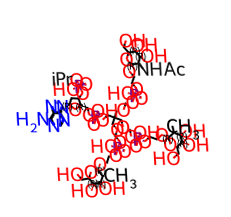 CC(=O)NC1[C@H](OCCOP(=O)(O)OCOCC(COCOP(=O)(O)OCCO[C@@H]2OC(CO)[C@H](O)[C@H](O)C2C)(COCOP(=O)(O)OCCO[C@@H]2OC(CO)[C@H](O)[C@H](O)C2C)COP(=O)(O)OC[C@H]2O[C@@H](n3cnc4c(N)ncnc43)CC2OP(=O)(O)OC(C)C)OC(CO)[C@H](O)[C@@H]1O